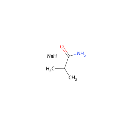 CC(C)C(N)=O.[NaH]